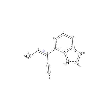 C/C=C(\C#N)c1cccc2nsnc12